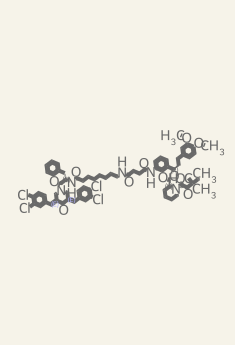 CCC(C)(C)C(=O)C(=O)N1CCCC[C@H]1C(=O)O[C@H](CCc1ccc(OC)c(OC)c1)c1cccc(NC(=O)CCC(=O)NCCCCCCCC(=O)N[C@@H](Cc2ccccc2)C(=O)N2C/C(=C\c3ccc(Cl)c(Cl)c3)C(=O)/C(=C/c3ccc(Cl)c(Cl)c3)C2)c1